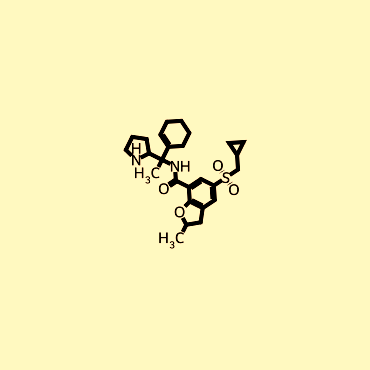 CC1Cc2cc(S(=O)(=O)CC3CC3)cc(C(=O)NC(C)(C3=CCCCC3)C3CCCN3)c2O1